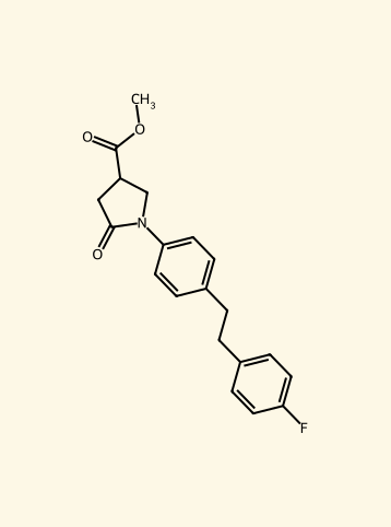 COC(=O)C1CC(=O)N(c2ccc(CCc3ccc(F)cc3)cc2)C1